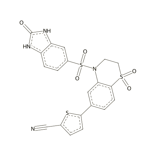 N#Cc1ccc(-c2ccc3c(c2)N(S(=O)(=O)c2ccc4[nH]c(=O)[nH]c4c2)CCS3(=O)=O)s1